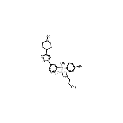 CC(=O)N1CCC(c2nc(-c3cncc(C(O)(c4ccc(C(C)C)cc4)C4(C)CN(CCO)C4)c3)no2)CC1